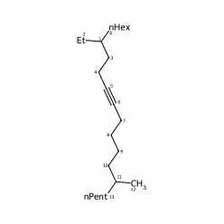 [CH2]CCCCCC(CC)CCC#CCCCCC(C)CCCC[CH2]